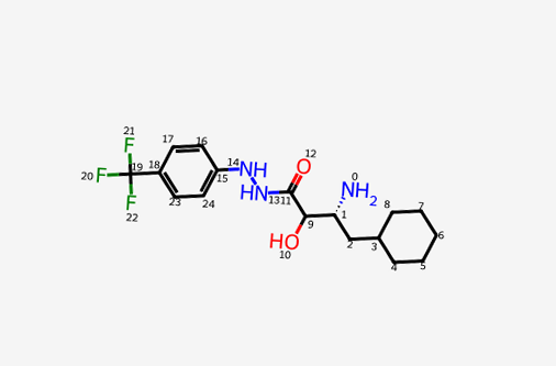 N[C@H](CC1CCCCC1)C(O)C(=O)NNc1ccc(C(F)(F)F)cc1